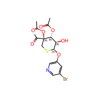 CC(=O)O[C@@H]1[C@@H](O)[C@@H](Oc2cncc(Br)c2)SC[C@]1(OC(C)=O)C(C)=O